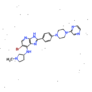 CN1CCC(Nc2c(Br)cnc3[nH]c(-c4ccc(N5CCN(c6cnccn6)CC5)cc4)nc23)C1